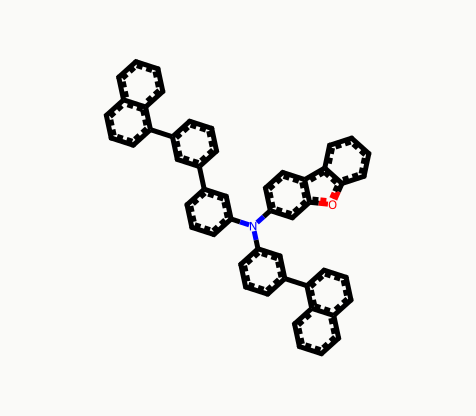 c1cc(-c2cccc(N(c3cccc(-c4cccc5ccccc45)c3)c3ccc4c(c3)oc3ccccc34)c2)cc(-c2cccc3ccccc23)c1